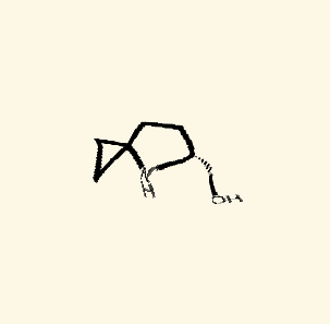 OC[C@H]1CCC2(CC2)N1